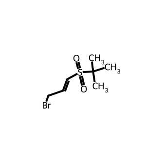 CC(C)(C)S(=O)(=O)C=CCBr